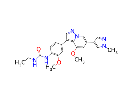 CCNC(=O)Nc1ccc(-c2cnn3cc(-c4cnn(C)c4)cc(OC)c23)cc1OC